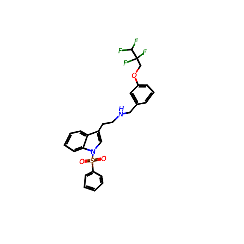 O=S(=O)(c1ccccc1)n1cc(CCNCc2cccc(OCC(F)(F)C(F)F)c2)c2ccccc21